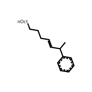 CCCCCCCCCCC/C=C/C(C)c1ccccc1